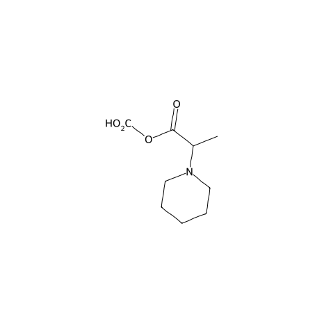 CC(C(=O)OC(=O)O)N1CCCCC1